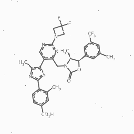 Cc1cc([C@H]2OC(=O)N(Cc3nc(N4CC(F)(F)C4)ncc3-c3sc(-c4ccc(C(=O)O)cc4C)nc3C)[C@H]2C)cc(C(F)(F)F)c1